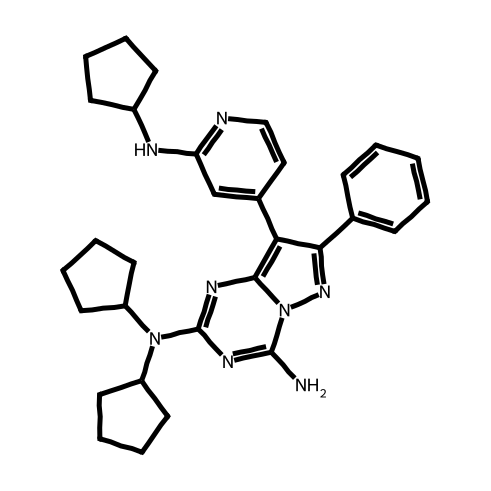 Nc1nc(N(C2CCCC2)C2CCCC2)nc2c(-c3ccnc(NC4CCCC4)c3)c(-c3ccccc3)nn12